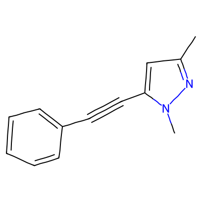 Cc1cc(C#Cc2ccccc2)n(C)n1